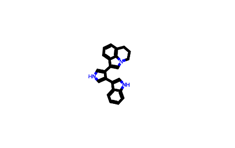 c1ccc2c(-c3c[nH]cc3-c3cn4c5c(cccc35)CCC4)c[nH]c2c1